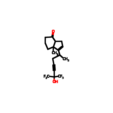 CC(CC#CC(O)(C(F)(F)F)C(F)(F)F)C1=CCC2C(=O)CCCC12C